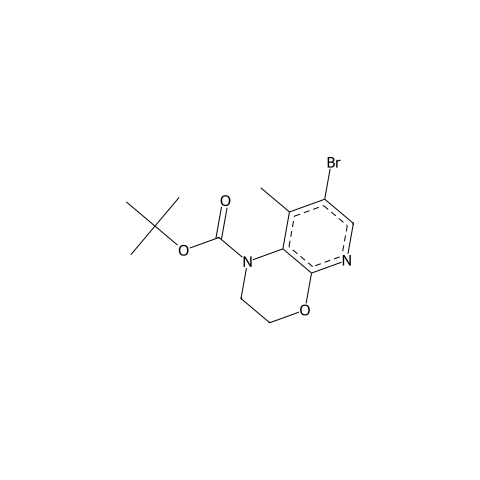 Cc1c(Br)cnc2c1N(C(=O)OC(C)(C)C)CCO2